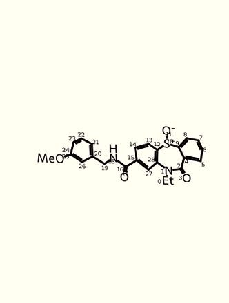 CCN1C(=O)c2ccccc2[S+]([O-])c2ccc(C(=O)NCc3cccc(OC)c3)cc21